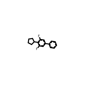 Fc1cc(-c2ccccc2)cc(F)c1C1CCCC1